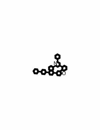 c1ccc(-c2ccc(-c3ccc(-c4ccc5oc6cccc(-c7cc(-c8ccccc8)nc(-c8ccccc8)c7)c6c5c4)cc3)cc2)cc1